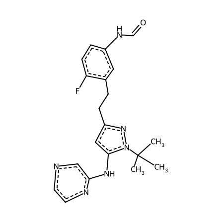 CC(C)(C)n1nc(CCc2cc(NC=O)ccc2F)cc1Nc1cnccn1